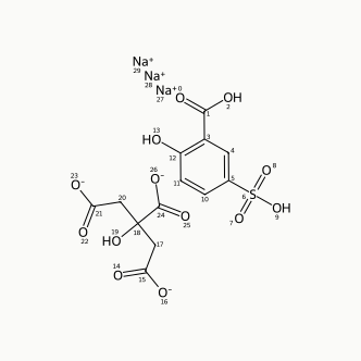 O=C(O)c1cc(S(=O)(=O)O)ccc1O.O=C([O-])CC(O)(CC(=O)[O-])C(=O)[O-].[Na+].[Na+].[Na+]